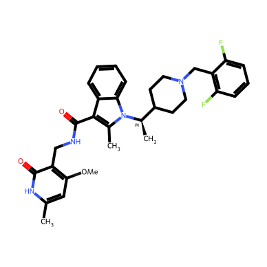 COc1cc(C)[nH]c(=O)c1CNC(=O)c1c(C)n([C@H](C)C2CCN(Cc3c(F)cccc3F)CC2)c2ccccc12